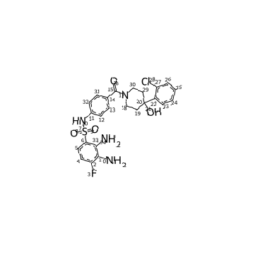 Nc1c(F)ccc(S(=O)(=O)Nc2ccc(C(=O)N3CCC(O)(c4ccccc4Cl)CC3)cc2)c1N